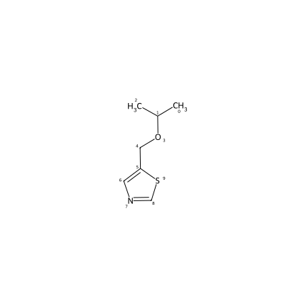 CC(C)OCc1cncs1